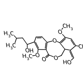 COC1=C2Oc3ccc(C(O)CC(C)C)c(OC)c3C(=O)OCC2C(=CO)C(C)=C1